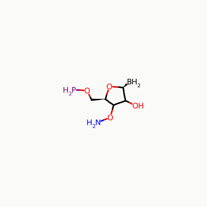 B[C@@H]1O[C@H](COP)C(ON)C1O